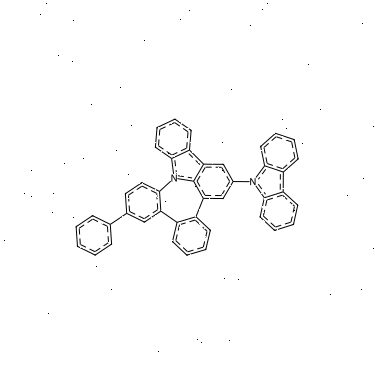 c1ccc(-c2ccc3c(c2)-c2ccccc2-c2cc(-n4c5ccccc5c5ccccc54)cc4c5ccccc5n-3c24)cc1